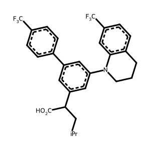 CC(C)CC(C(=O)O)c1cc(-c2ccc(C(F)(F)F)cc2)cc(N2CCCc3ccc(C(F)(F)F)cc32)c1